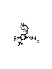 CN1CCN(Cc2cc(Br)c(C(C)(C)C)cc2N)CC1